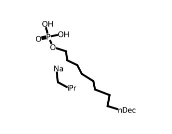 CC(C)[CH2][Na].CCCCCCCCCCCCCCCCCCOP(=O)(O)O